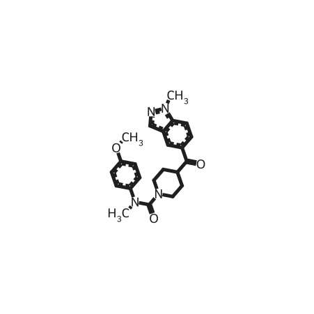 COc1ccc(N(C)C(=O)N2CCC(C(=O)c3ccc4c(cnn4C)c3)CC2)cc1